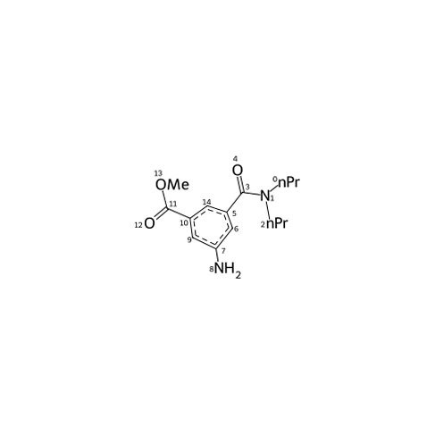 CCCN(CCC)C(=O)c1cc(N)cc(C(=O)OC)c1